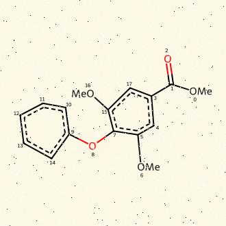 COC(=O)c1cc(OC)c(Oc2ccccc2)c(OC)c1